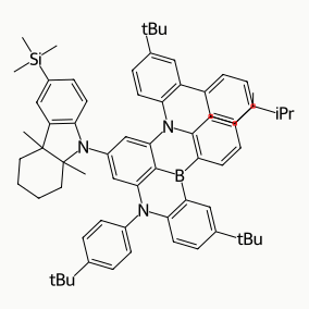 CC(C)C(C)c1ccc2c(c1)N(c1ccc(C(C)(C)C)cc1-c1ccccc1)c1cc(N3c4ccc([Si](C)(C)C)cc4C4(C)CCCCC34C)cc3c1B2c1cc(C(C)(C)C)ccc1N3c1ccc(C(C)(C)C)cc1